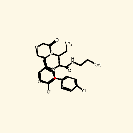 CCC(C(C(=O)NCCO)N1C(=O)COCC1c1ccc(Cl)cc1)N1C(=O)COCC1c1ccc(Cl)cc1